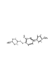 CCCCC1CCC(CCc2ccc(-c3ccc(CCC)nn3)cc2F)CC1